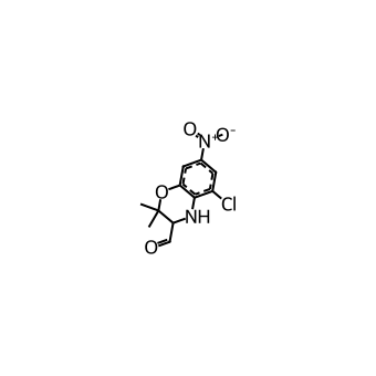 CC1(C)Oc2cc([N+](=O)[O-])cc(Cl)c2NC1C=O